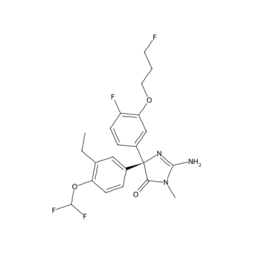 CCc1cc([C@@]2(c3ccc(F)c(OCCCF)c3)N=C(N)N(C)C2=O)ccc1OC(F)F